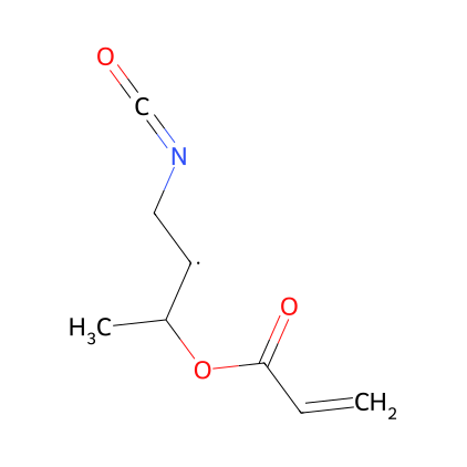 C=CC(=O)OC(C)[CH]CN=C=O